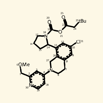 COCc1cc(N2CCc3cc(Cl)cc(C4CCCN4C(=O)OC(=O)CC(C)(C)C)c3C2)ccn1